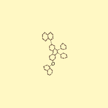 c1ccc(-c2c(-c3ccccc3)c3cc(-c4cccc5ccccc45)ccc3c3ccc(Oc4cccc5ccccc45)cc23)cc1